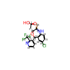 O=C(O)C[C@H]1O[C@H](c2cccnc2C(F)(F)F)c2cc(Cl)ccc2NC1=S